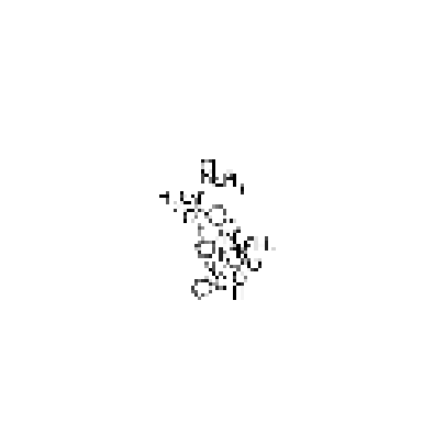 CN(C)CCN(C)C(=O)c1ccc2c(c1)[C@@H](c1ccccc1F)N(c1nc(-c3nc4ccccc4o3)c(O)c(=O)n1C)CC2